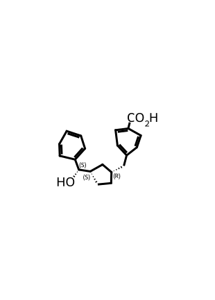 O=C(O)c1ccc(C[C@@H]2CC[C@H]([C@H](O)c3ccccc3)C2)cc1